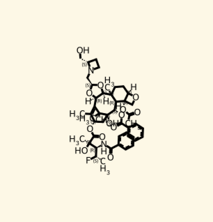 CC(=O)O[C@@]12CO[C@@H]1CC[C@@]1(C)[C@@H]3O[C@H](CN4CC[C@H]4CO)O[C@@H]3C3=C(C)[C@@H](OC(=O)[C@](C)(O)[C@@H](NC(=O)c4ccccc4)[C@H](C)F)C[C@@](O)([C@@H](OC(=O)c4ccccc4)[C@@H]12)C3(C)C